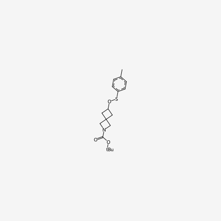 Cc1ccc(SOC2CC3(C2)CN(C(=O)OC(C)(C)C)C3)cc1